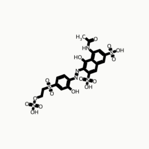 CC(=O)Nc1cc(S(=O)(=O)O)cc2cc(S(=O)(=O)O)c(/N=N/c3ccc(S(=O)(=O)CCOS(=O)(=O)O)cc3O)c(O)c12